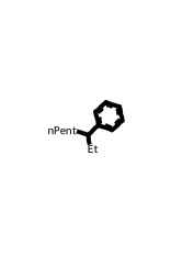 CCCCC[C](CC)c1ccccc1